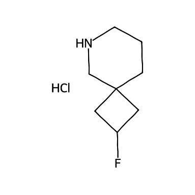 Cl.FC1CC2(CCCNC2)C1